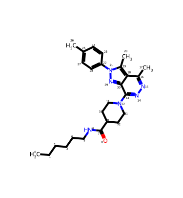 CCCCCCNC(=O)C1CCN(c2nnc(C)c3c(C)n(-c4ccc(C)cc4)nc23)CC1